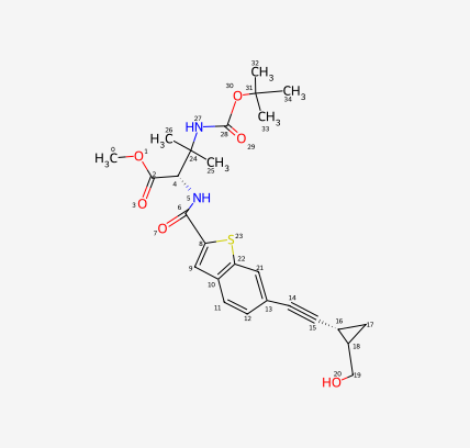 COC(=O)[C@@H](NC(=O)c1cc2ccc(C#C[C@@H]3CC3CO)cc2s1)C(C)(C)NC(=O)OC(C)(C)C